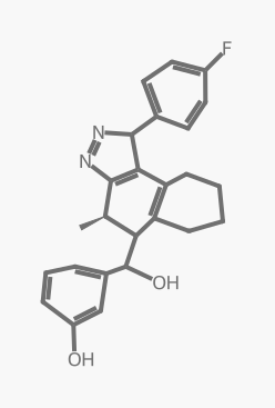 C[C@H]1C2=C(C3=C(CCCC3)C1C(O)c1cccc(O)c1)C(c1ccc(F)cc1)N=N2